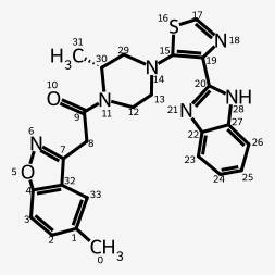 Cc1ccc2onc(CC(=O)N3CCN(c4scnc4-c4nc5ccccc5[nH]4)C[C@H]3C)c2c1